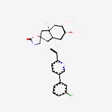 O=C1NCC2(C[C@@H]3C[C@H](O)[C@@H](O)C[C@H]3[C@@H]2C=Cc2ccc(-c3cccc(F)c3)cn2)O1